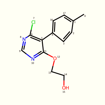 Cc1ccc(-c2c(Cl)ncnc2OCCO)cc1